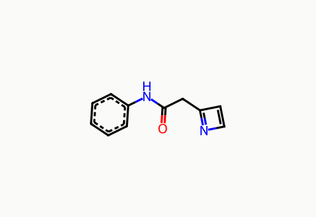 O=C(CC1=NC=C1)Nc1ccccc1